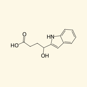 O=C(O)CCC(O)c1cc2ccccc2[nH]1